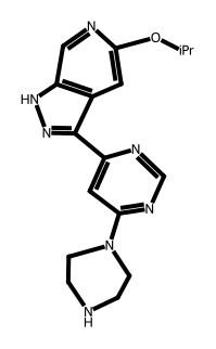 CC(C)Oc1cc2c(-c3cc(N4CCNCC4)ncn3)n[nH]c2cn1